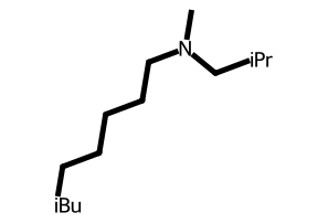 CCC(C)CCCCCN(C)CC(C)C